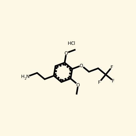 COc1cc(CCN)cc(OC)c1OCCC(F)(F)F.Cl